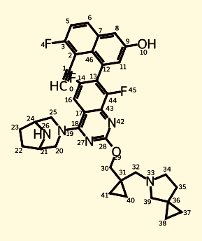 C#Cc1c(F)ccc2cc(O)cc(-c3c(F)cc4c(N5CC6CCC(C5)N6)nc(OCC5(CN6CCC7(CC7)C6)CC5)nc4c3F)c12